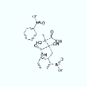 O=C(O)C(O)(Cc1ccccc1[N+](=O)[O-])C(O)(Cc1ccccc1[N+](=O)[O-])C(=O)O